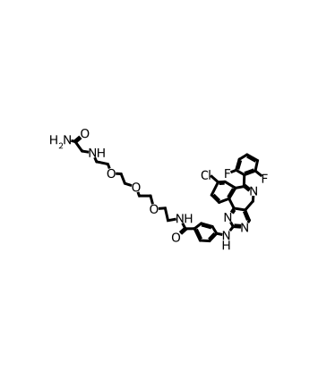 NC(=O)CNCCOCCOCCOCCNC(=O)c1ccc(Nc2ncc3c(n2)-c2ccc(Cl)cc2C(c2c(F)cccc2F)=NC3)cc1